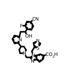 N#Cc1ccc(C(O)Cc2cccc(C3CCN(Cc4nc5ccc(C(=O)O)cc5n4Cc4cncs4)CC3)n2)c(F)c1